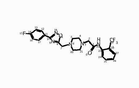 O=C(CN1CCN(Cc2nc(-c3ccc(F)cc3)no2)CC1)Nc1ccccc1C(F)(F)F